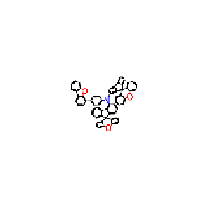 c1ccc2c(c1)Oc1ccccc1C21c2ccccc2-c2ccc(N(c3ccc(-c4cccc5c4oc4ccccc45)cc3)c3cccc4c3-c3ccccc3C43c4ccccc4Oc4ccccc43)cc21